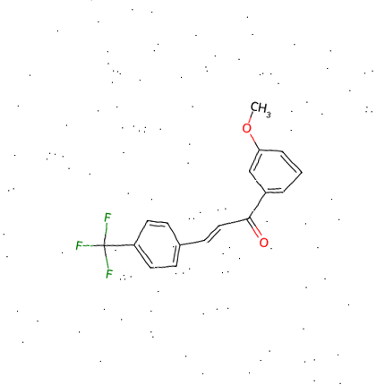 COc1cccc(C(=O)/C=C/c2ccc(C(F)(F)F)cc2)c1